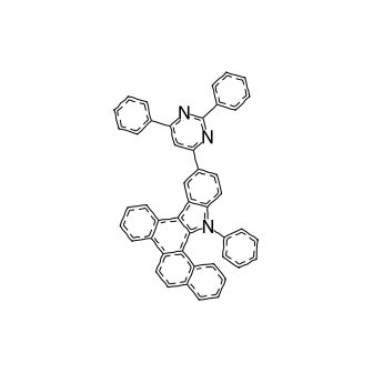 c1ccc(-c2cc(-c3ccc4c(c3)c3c5ccccc5c5ccc6ccccc6c5c3n4-c3ccccc3)nc(-c3ccccc3)n2)cc1